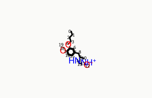 CCCCOc1cc(CC2C[NH+]([O-])CN2)ccc1OC